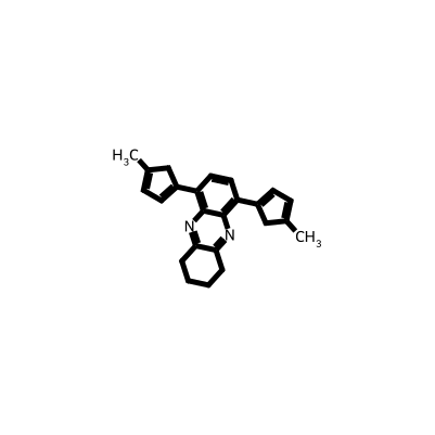 CC1=CC=C(c2ccc(C3=CC=C(C)C3)c3nc4c(nc23)CCCC4)C1